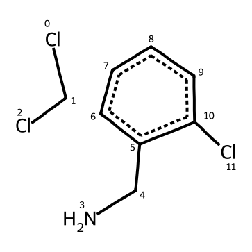 ClCCl.NCc1ccccc1Cl